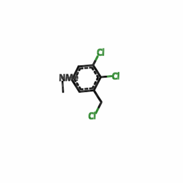 CNC.ClCc1cccc(Cl)c1Cl